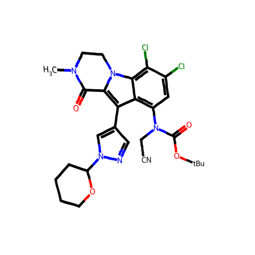 CN1CCn2c(c(-c3cnn(C4CCCCO4)c3)c3c(N(CC#N)C(=O)OC(C)(C)C)cc(Cl)c(Cl)c32)C1=O